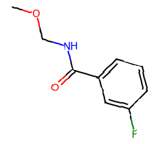 COCNC(=O)c1cccc(F)c1